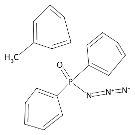 Cc1ccccc1.[N-]=[N+]=NP(=O)(c1ccccc1)c1ccccc1